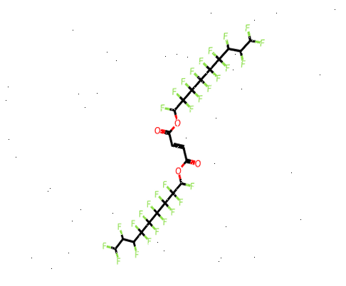 O=C(C=CC(=O)OC(F)C(F)(F)C(F)(F)C(F)(F)C(F)(F)C(F)(F)C(F)C(F)C(F)F)OC(F)C(F)(F)C(F)(F)C(F)(F)C(F)(F)C(F)(F)C(F)C(F)C(F)F